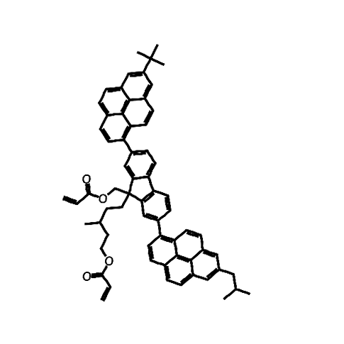 C=CC(=O)OCCC(C)CCC1(COC(=O)C=C)c2cc(-c3ccc4ccc5cc(CC(C)C)cc6ccc3c4c56)ccc2-c2ccc(-c3ccc4ccc5cc(C(C)(C)C)cc6ccc3c4c56)cc21